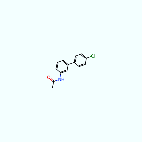 CC(=O)Nc1cccc(-c2ccc(Cl)cc2)c1